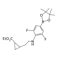 CCOC(=O)C1CC1CCNc1c(F)cc(B2OC(C)(C)C(C)(C)O2)cc1F